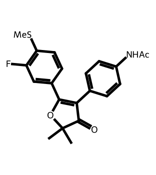 CSc1ccc(C2=C(c3ccc(NC(C)=O)cc3)C(=O)C(C)(C)O2)cc1F